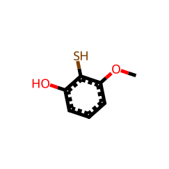 COc1cccc(O)c1S